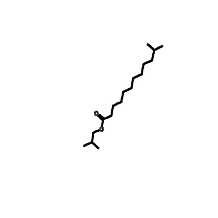 CC(C)CCCCCCCCCC(=O)OCC(C)C